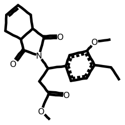 CCc1ccc(C(CC(=O)OC)N2C(=O)C3CC=CCC3C2=O)cc1OC